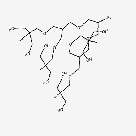 CCC(COCC(COCC(C)(CO)CO)COCC(C)(CO)CO)COCC(COCC(C)(CO)CO)COCC(C)(CO)CO